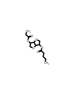 CCCCC(=O)OC1COC2C(OC(=O)CC)COC12